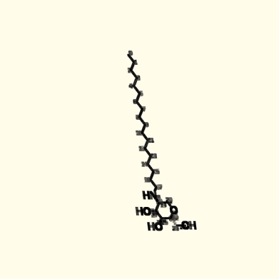 CCCCCCCCCCCCCCCCCCN[C@H]1[CH]O[C@H](CO)[C@@H](O)[C@@H]1O